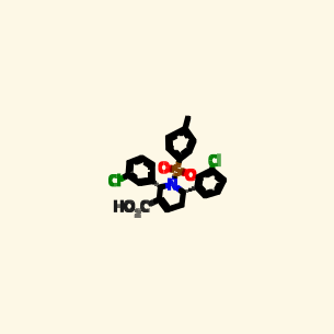 Cc1ccc(S(=O)(=O)N2[C@@H](c3cccc(Cl)c3)C(C(=O)O)=CC[C@H]2c2cccc(Cl)c2)cc1